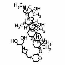 CCO[C@@H]([C@H]1C[C@@H](C)[C@H]2[C@H](O1)[C@H](O)[C@@]1(C)[C@@H]3CC[C@H]4C(C)(C)[C@@H](O[C@H]5CN(CC6CN(C(CO)CO)C6)CCO5)CC[C@@]45C[C@@]35CC[C@]21C)C(C)(C)O